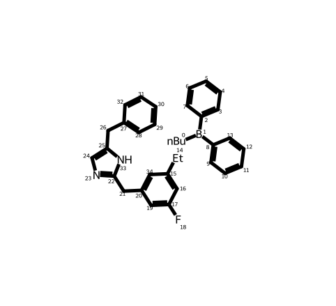 CCCCB(c1ccccc1)c1ccccc1.CCc1cc(F)cc(Cc2ncc(Cc3ccccc3)[nH]2)c1